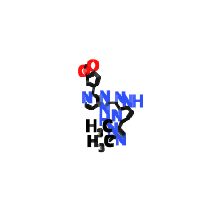 Cc1ncc(-c2ccc3[nH]nc(-c4nc5c(-c6ccc7c(c6)OCO7)nccc5[nH]4)c3n2)n1C